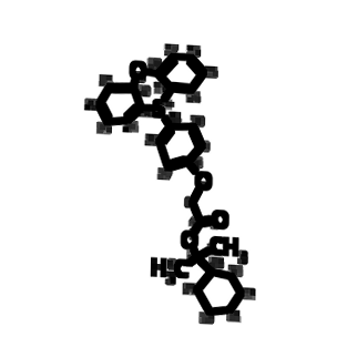 CC(C)(OC(=O)COc1ccc([S+]2c3ccccc3Oc3ccccc32)cc1)C1CCCCC1